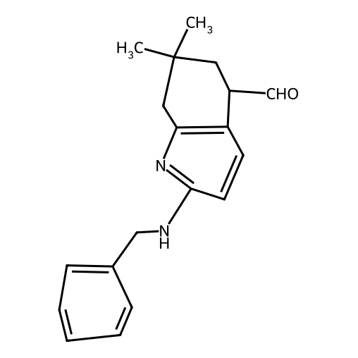 CC1(C)Cc2nc(NCc3ccccc3)ccc2C(C=O)C1